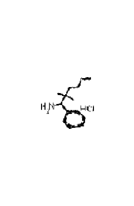 C=CCCC(C)(C)C(N)c1ccccc1.Cl